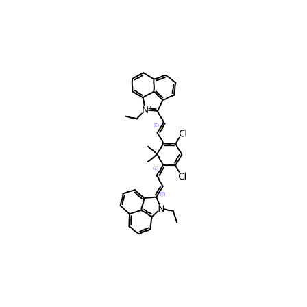 CCn1/c(=C/C=C2\C(Cl)=CC(Cl)=C(/C=C/C3=[N+](CC)c4cccc5cccc3c45)C2(C)C)c2cccc3cccc1c32